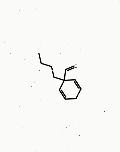 CCCCC1(C=O)C=CCC=C1